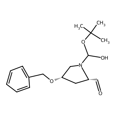 CC(C)(C)OC(O)N1C[C@@H](OCc2ccccc2)C[C@H]1C=O